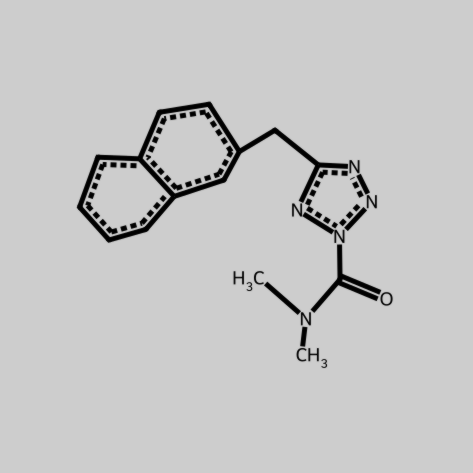 CN(C)C(=O)n1nnc(Cc2ccc3ccccc3c2)n1